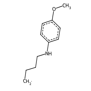 [CH2]CCCNc1ccc(OC)cc1